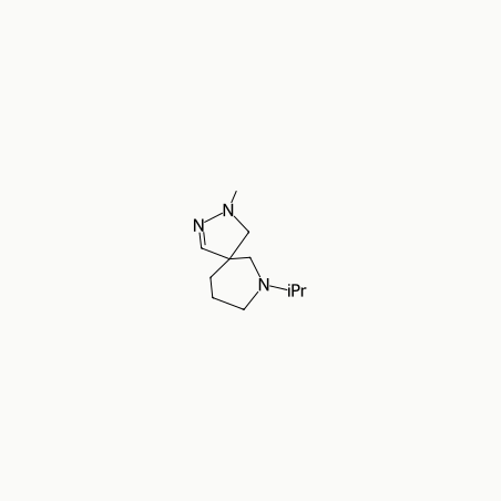 CC(C)N1CCCC2(C=NN(C)C2)C1